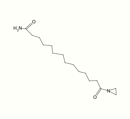 NC(=O)CCCCCCCCCCCCC(=O)N1CC1